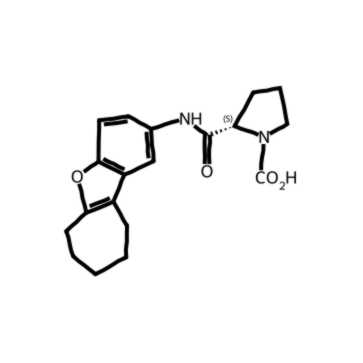 O=C(Nc1ccc2oc3c(c2c1)CCCCC3)[C@@H]1CCCN1C(=O)O